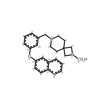 O=C(O)N1CC2(CCN(Cc3cccc(Oc4ccc5ncccc5c4)c3)CC2)C1